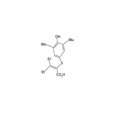 CCC(CC)=C(Sc1cc(C(C)(C)C)c(O)c(C(C)(C)C)c1)C(=O)O